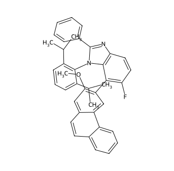 COc1cc2ccc3ccccc3c2cc1-c1c(F)ccc2nc(-c3ccccc3)n(-c3c(C(C)C)cccc3C(C)C)c12